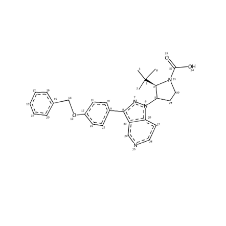 CC(C)(C)[C@@H]1C(n2nc(-c3ccc(OCc4ccccc4)cc3)c3cnccc32)CCN1C(=O)O